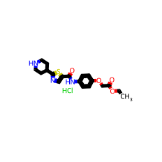 CCOC(=O)COc1ccc(NC(=O)c2cnc(C3CCNCC3)s2)cc1.Cl